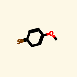 COC1=CCC(=S)[C]=C1